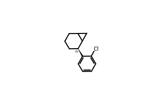 Clc1ccccc1[C@H]1CCCC2CC21